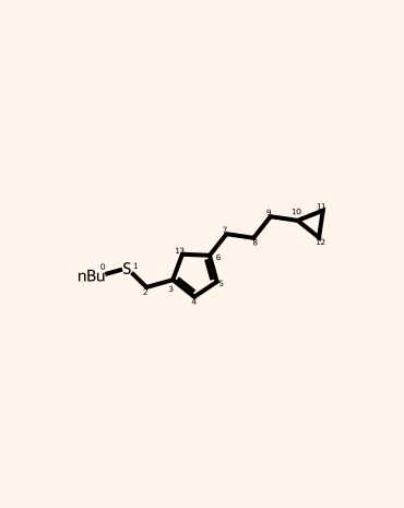 CCCCSCC1=CC=C(CCCC2CC2)C1